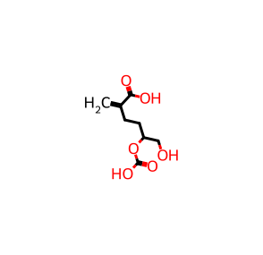 C=C(CCC(CO)OC(=O)O)C(=O)O